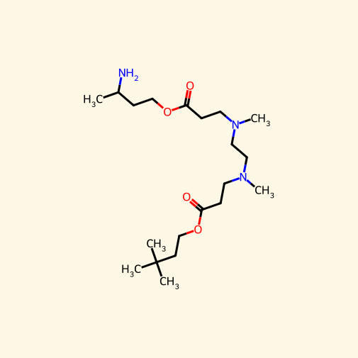 CC(N)CCOC(=O)CCN(C)CCN(C)CCC(=O)OCCC(C)(C)C